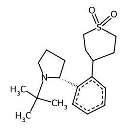 CC(C)(C)N1CCC[C@@H]1c1ccccc1C1CCS(=O)(=O)CC1